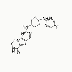 O=C1NCCn2c1cc1cnc(NC3CCC(Nc4ncc(F)cn4)CC3)nc12